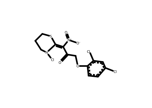 O=C(COc1ccc(Cl)cc1Cl)C(=C1SCCCN1Cl)[N+](=O)[O-]